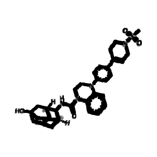 CS(=O)(=O)N1CC=C(c2ccc(N3CCN(C(=O)NC4[C@@H]5CC6C[C@H]4CC(O)(C6)C5)c4ccccc43)cc2)CC1